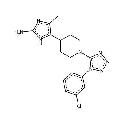 Cc1nc(N)[nH]c1C1CCN(c2nnnn2-c2cccc(Cl)c2)CC1